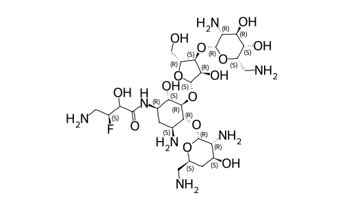 NC[C@@H]1C[C@H](O)[C@@H](N)[C@@H](O[C@H]2[C@H](O[C@@H]3O[C@H](CO)[C@@H](O[C@H]4O[C@@H](CN)[C@@H](O)[C@H](O)[C@H]4N)[C@H]3O)[C@@H](O)[C@H](NC(=O)C(O)[C@@H](F)CN)C[C@@H]2N)O1